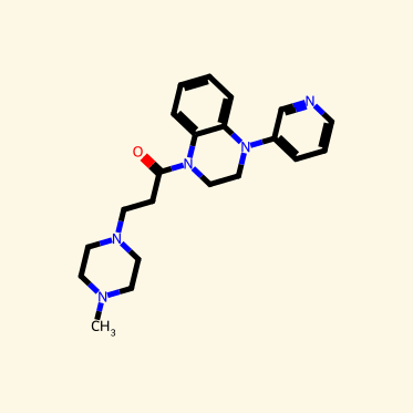 CN1CCN(CCC(=O)N2CCN(c3cccnc3)c3ccccc32)CC1